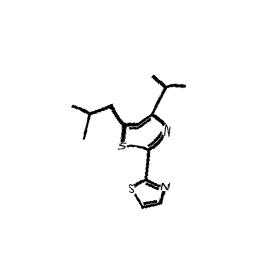 CC(C)Cc1sc(-c2nccs2)nc1C(C)C